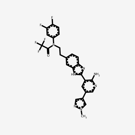 Cn1cc(-c2cnc(N)c(-c3nc4ccc(CCN(C(=O)C(F)(F)F)c5ccc(F)c(F)c5)cc4[nH]3)c2)cn1